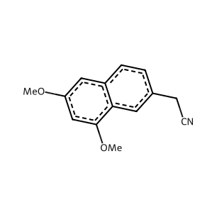 COc1cc(OC)c2cc(CC#N)ccc2c1